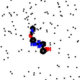 Oc1ccccc1-c1cccc2nc(Nc3ccc(OCCN4CCCC4)cc3)nn12